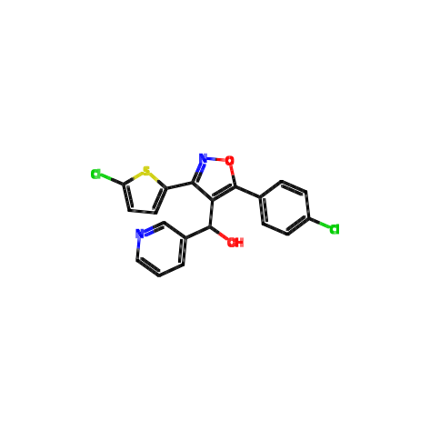 OC(c1cccnc1)c1c(-c2ccc(Cl)s2)noc1-c1ccc(Cl)cc1